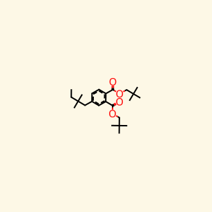 CCC(C)(C)Cc1ccc(C(=O)OCC(C)(C)C)c(C(=O)OCC(C)(C)C)c1